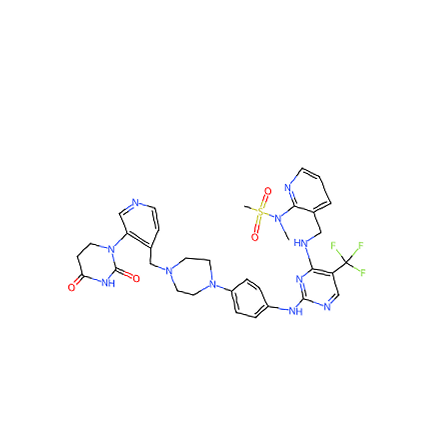 CN(c1ncccc1CNc1nc(Nc2ccc(N3CCN(Cc4ccncc4N4CCC(=O)NC4=O)CC3)cc2)ncc1C(F)(F)F)S(C)(=O)=O